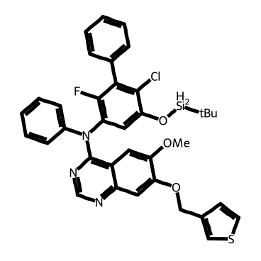 COc1cc2c(N(c3ccccc3)c3cc(O[SiH2]C(C)(C)C)c(Cl)c(-c4ccccc4)c3F)ncnc2cc1OCc1ccsc1